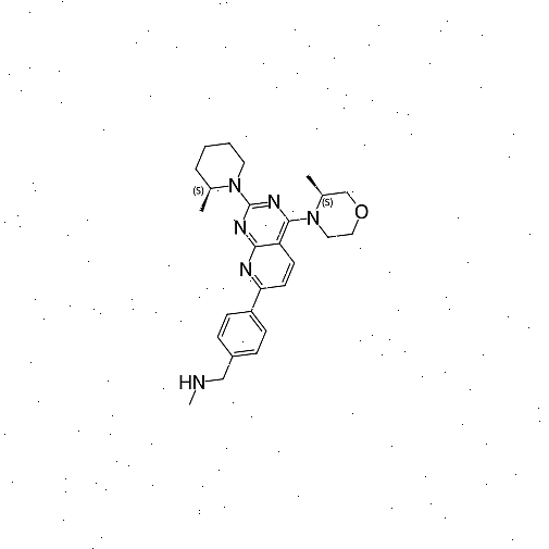 CNCc1ccc(-c2ccc3c(N4CCOC[C@@H]4C)nc(N4CCCC[C@@H]4C)nc3n2)cc1